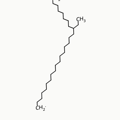 [CH2]CCCCCCCCCCCCCCCCC(CC)CCCCCCC[CH2]